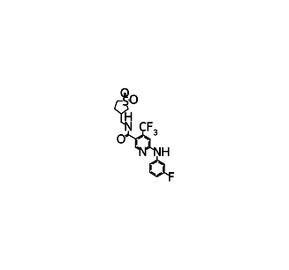 O=C(NCC1CCS(=O)(=O)C1)c1cnc(Nc2cccc(F)c2)cc1C(F)(F)F